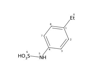 CCc1ccc(NS(=O)(=O)O)cc1